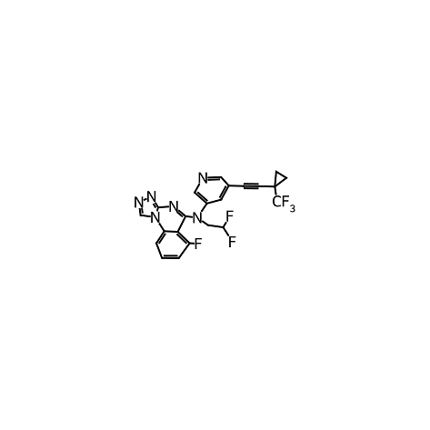 Fc1cccc2c1c(N(CC(F)F)c1cncc(C#CC3(C(F)(F)F)CC3)c1)nc1nncn12